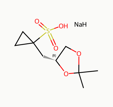 CC1(C)OC[C@@H](CC2(S(=O)(=O)O)CC2)O1.[NaH]